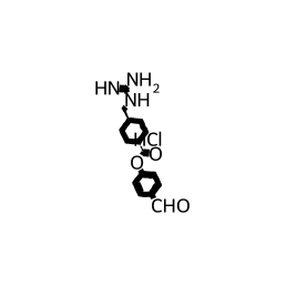 Cl.N=C(N)NC[C@H]1CC[C@H](C(=O)Oc2ccc(C=O)cc2)CC1